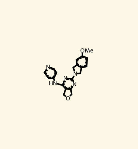 COc1ccc2c(c1)CN(c1nc3c(c(Nc4ccncc4)n1)COC3)C2